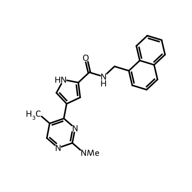 CNc1ncc(C)c(-c2c[nH]c(C(=O)NCc3cccc4ccccc34)c2)n1